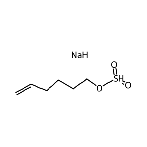 C=CCCCCO[SH](=O)=O.[NaH]